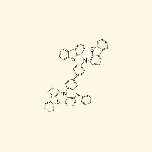 c1ccc2c(c1)sc1c(N(c3ccc(-c4ccc(N(c5cccc6c5sc5ccccc56)c5cccc6c5sc5ccccc56)cc4)cc3)c3cccc4c3sc3ccccc34)cccc12